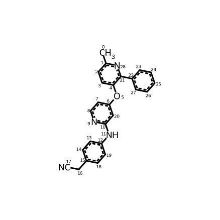 Cc1ccc(Oc2ccnc(Nc3ccc(CC#N)cc3)c2)c(-c2ccccc2)n1